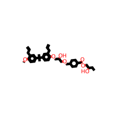 C=CCc1cc(C(C)(C)c2ccc(OCC(O)COCC3CCC(C(=O)OCC(O)CC)CC3)c(CC=C)c2)ccc1OC